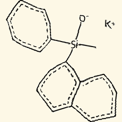 C[Si]([O-])(c1ccccc1)c1cccc2ccccc12.[K+]